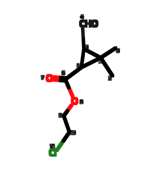 CC1(C)C(C=O)C1C(=O)OCCCl